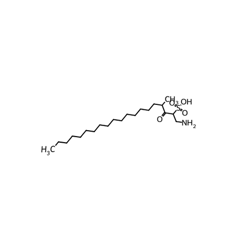 CCCCCCCCCCCCCCCCC(C)C(=O)C(CN)S(=O)(=O)O